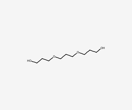 OCCCOCCCOCCCO